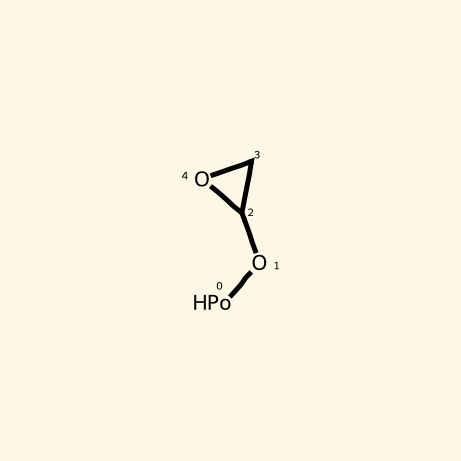 [PoH][O]C1CO1